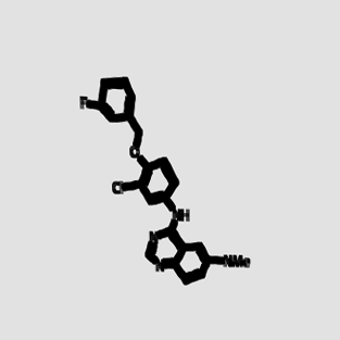 CNc1ccc2ncnc(Nc3ccc(OCc4cccc(F)c4)c(Cl)c3)c2c1